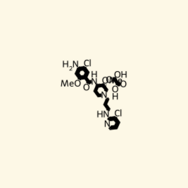 COc1cc(N)c(Cl)cc1C(=O)N[C@@H]1CCN(CCCNc2ncccc2Cl)C[C@@H]1OC.O=C(O)C(=O)O